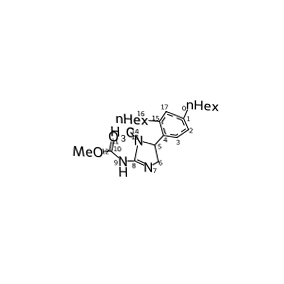 CCCCCCc1ccc(C2CN=C(NC(=O)OC)N2C)c(CCCCCC)c1